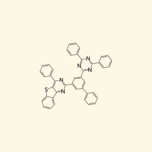 c1ccc(-c2cc(-c3nc(-c4ccccc4)nc(-c4ccccc4)n3)cc(-c3nc(-c4ccccc4)c4sc5ccccc5c4n3)c2)cc1